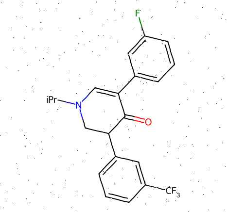 CC(C)N1C=C(c2cccc(F)c2)C(=O)C(c2cccc(C(F)(F)F)c2)C1